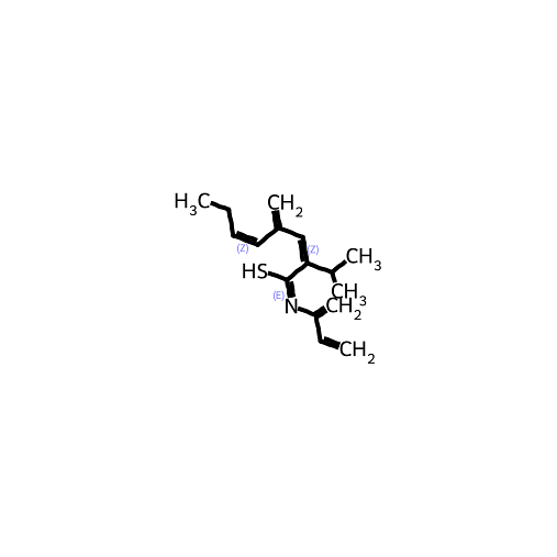 C=CC(=C)/N=C(S)\C(=C/C(=C)/C=C\CC)C(C)C